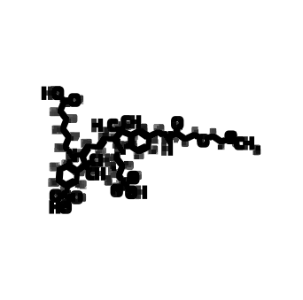 COCCOCCC(=O)NCc1ccc2c(c1)C(C)(C)C(/C=C/C=C1/N(CCCCCC(=O)O)c3ccc(S(=O)(=O)O)cc3C1(C)C)=[N+]2CCCS(=O)(=O)O